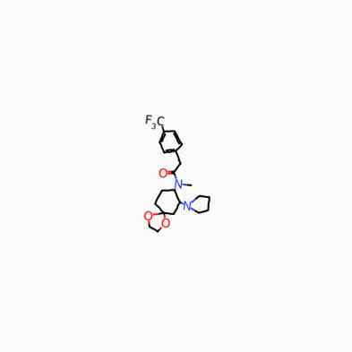 CN(C(=O)Cc1ccc(C(F)(F)F)cc1)C1CCC2(CC1N1CCCC1)OCCO2